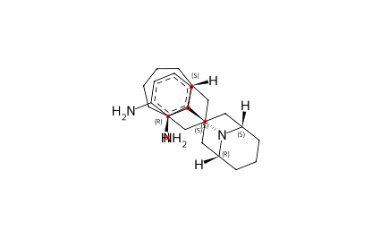 Nc1cccc([C@@H]2C[C@H]3CCC[C@@H](C2)N3[C@@H]2C[C@@H]3CCCC[C@@H](C3)C2)c1N